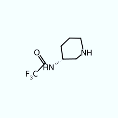 O=C(N[C@@H]1CCCNC1)C(F)(F)F